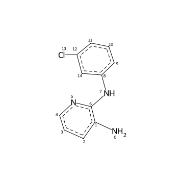 Nc1cccnc1Nc1cccc(Cl)c1